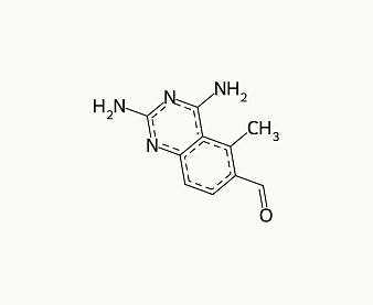 Cc1c(C=O)ccc2nc(N)nc(N)c12